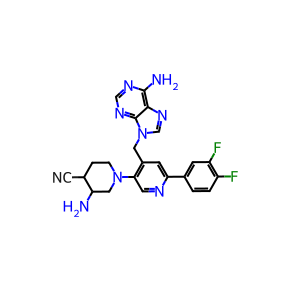 N#CC1CCN(c2cnc(-c3ccc(F)c(F)c3)cc2Cn2cnc3c(N)ncnc32)CC1N